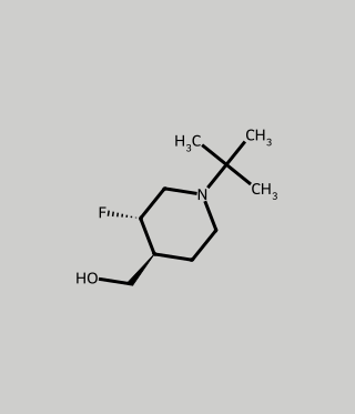 CC(C)(C)N1CC[C@@H](CO)[C@H](F)C1